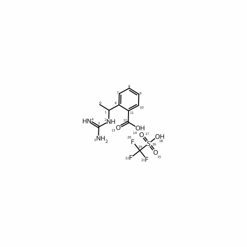 CC(NC(=N)N)c1ccccc1C(=O)O.O=S(=O)(O)C(F)(F)F